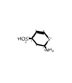 NC1CC(C(=O)O)C=CS1